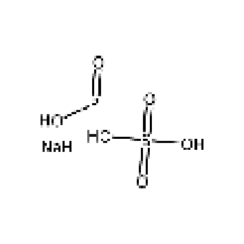 O=PO.O=S(=O)(O)O.[NaH]